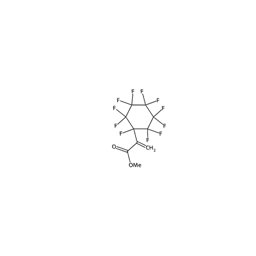 C=C(C(=O)OC)C1(F)C(F)(F)C(F)(F)C(F)(F)C(F)(F)C1(F)F